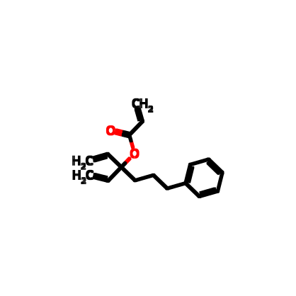 C=CC(=O)OC(C=C)(C=C)CCCc1ccccc1